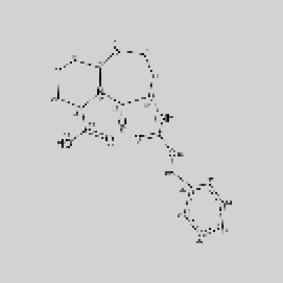 O=C(N[C@H]1CCSC2CCCC(C(=O)O)N2C1=O)OCc1ccccc1